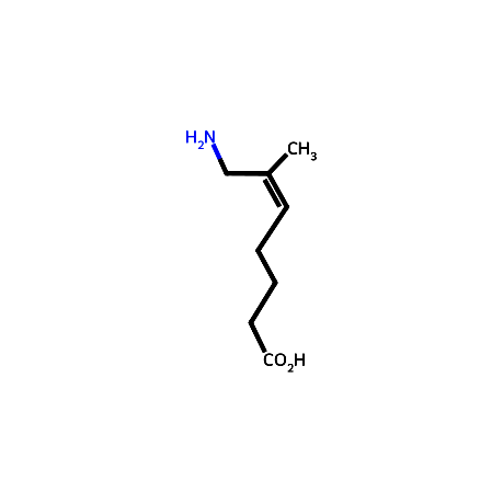 CC(=CCCCC(=O)O)CN